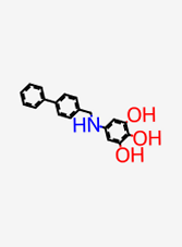 Oc1cc(NCc2ccc(-c3ccccc3)cc2)cc(O)c1O